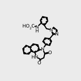 O=C(O)Nc1ccccc1Cn1ccnc1-c1ccc(N2C(=O)CC(=O)Nc3c2ccc2ccccc32)cc1